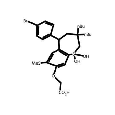 CCCCC1(CCCC)CC(c2ccc(Br)cc2)c2cc(SC)c(OCC(=O)O)cc2S(O)(O)C1